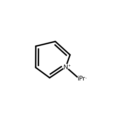 C[C](C)[n+]1ccccc1